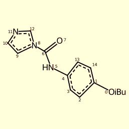 CC(C)COc1ccc(NC(=O)n2ccnc2)cc1